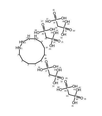 C1CCCCNNNNCCC1.O=P(O)(O)CP(=O)(O)O.O=P(O)(O)CP(=O)(O)O.O=P(O)(O)CP(=O)(O)O.O=P(O)(O)CP(=O)(O)O